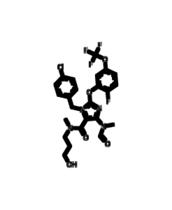 CN(CCCO)C(=O)c1c(N(C)C=O)nc(Oc2cc(OC(F)(F)F)ccc2F)n1Cc1ccc(Cl)cc1